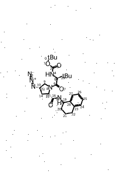 CC(C)(C)OC(=O)N[C@H](C(=O)N1C[C@@H](N=[N+]=[N-])C[C@H]1C(=O)N[C@@H]1CCCc2ccccc21)C(C)(C)C